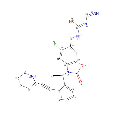 C[C@H](c1ccccc1C#CC1CCCCN1)n1c(=O)oc2cc(SN/C(S)=N/C=N)c(F)cc21